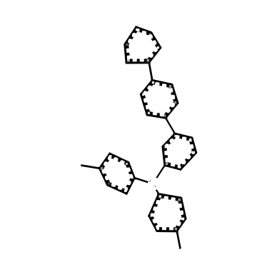 Cc1ccc(N(c2ccc(C)cc2)c2cccc(-c3ccc(-c4ccccc4)cc3)c2)cc1